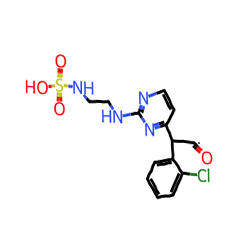 O=[C]C(c1ccnc(NCCNS(=O)(=O)O)n1)c1ccccc1Cl